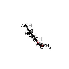 CC(=O)N(O)CCCCCNC(=O)CCC(=O)N(O)CCCCCNC(=O)CCC(=O)N(O)CCCCCNC(=O)c1ccc(N2N=C(C)CC2=O)cc1